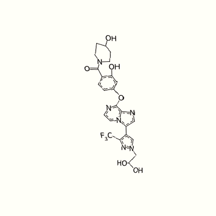 O=C(c1ccc(Oc2nccn3c(-c4cn(CC(O)O)nc4C(F)(F)F)cnc23)cc1O)N1CCC(O)CC1